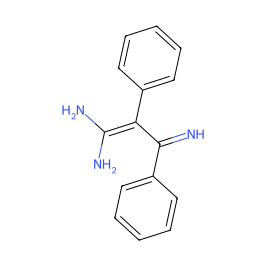 N=C(C(=C(N)N)c1ccccc1)c1ccccc1